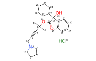 CC(C)(C#CCN1CCCC1)OC(=O)C(O)(c1ccccc1)C1CCCCC1.Cl